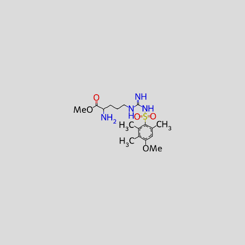 COC(=O)C(N)CCCNC(=N)NS(=O)(=O)c1c(C)cc(OC)c(C)c1C